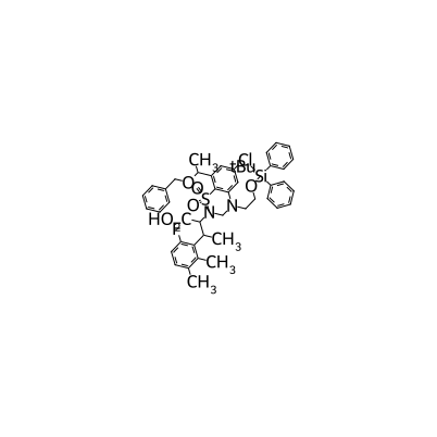 Cc1ccc(F)c(C(C)C(C(=O)O)N2CN(CCO[Si](c3ccccc3)(c3ccccc3)C(C)(C)C)c3cc(Cl)cc(C(C)OCc4ccccc4)c3S2(=O)=O)c1C